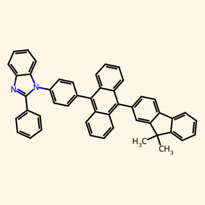 CC1(C)c2ccccc2-c2ccc(-c3c4ccccc4c(-c4ccc(-n5c(-c6ccccc6)nc6ccccc65)cc4)c4ccccc34)cc21